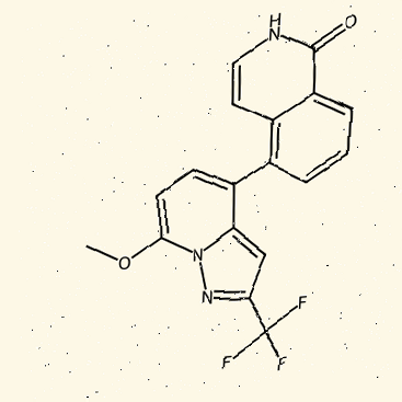 COc1ccc(-c2cccc3c(=O)[nH]ccc23)c2cc(C(F)(F)F)nn12